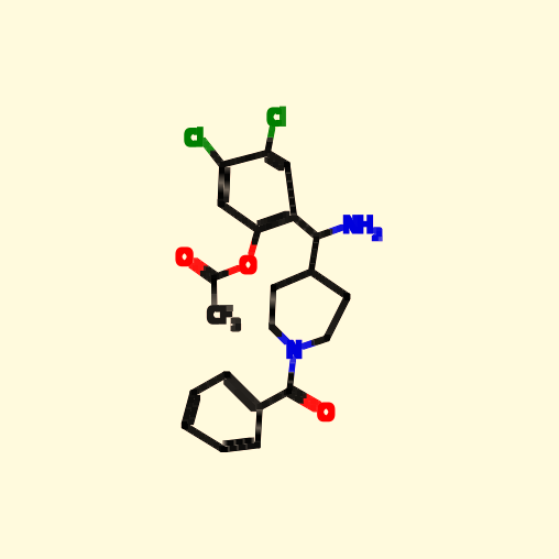 NC(c1cc(Cl)c(Cl)cc1OC(=O)C(F)(F)F)C1CCN(C(=O)c2ccccc2)CC1